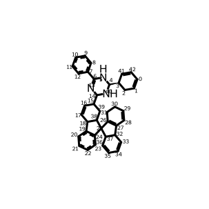 C1=CC[C@@H](C2NC(c3ccccc3)=NC(C3C=CC4c5ccccc5C5(C6=C(C=CCC6)C6C=CC=CC65)C4C3)N2)C=C1